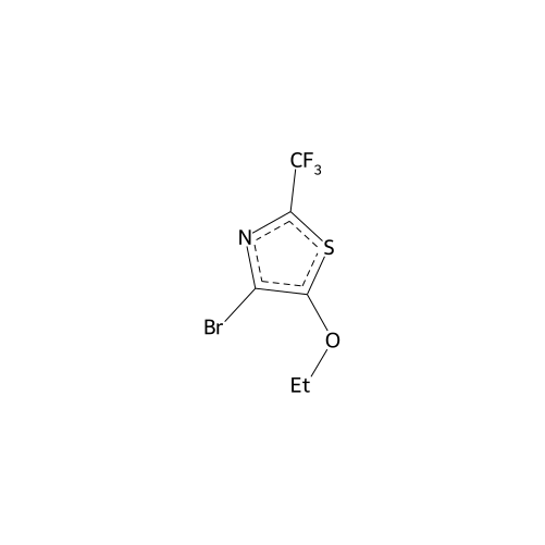 CCOc1sc(C(F)(F)F)nc1Br